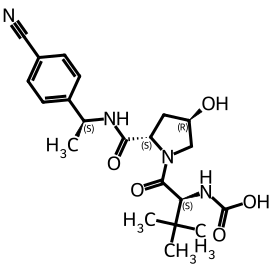 C[C@H](NC(=O)[C@@H]1C[C@@H](O)CN1C(=O)[C@@H](NC(=O)O)C(C)(C)C)c1ccc(C#N)cc1